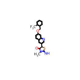 CN1C(=N)SC(c2cnc3cc(OCc4ccccc4C(F)(F)F)ccc3c2)C1=O